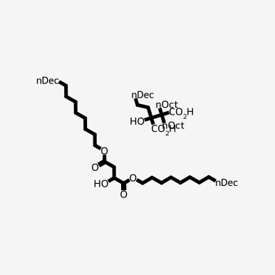 CCCCCCCCCCCCC(O)(C(=O)O)C(CCCCCCCC)(CCCCCCCC)C(=O)O.CCCCCCCCCCCCCCCCCCOC(=O)CC(O)C(=O)OCCCCCCCCCCCCCCCCCC